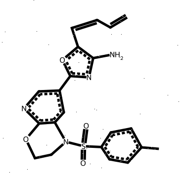 C=C/C=C\c1oc(-c2cnc3c(c2)N(S(=O)(=O)c2ccc(C)cc2)CCO3)nc1N